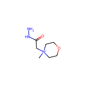 C[N+]1(CC(=O)NN)CCOCC1